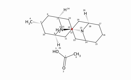 CC(=O)O.C[C@@H]1C[C@@H]2C[C@H](C1)C[C@@H](N1C3CCC[C@@H]1C[C@H](N)C3)C2